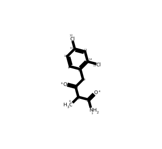 C[C](C(N)=O)C(=O)Cc1ccc(Cl)cc1Cl